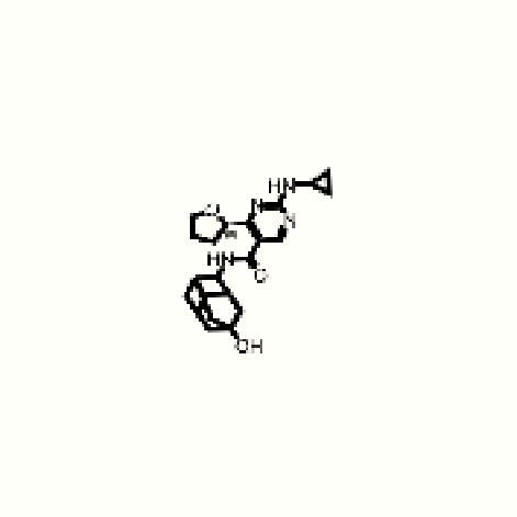 O=C(NC1C2CC3CC1CC(O)(C3)C2)c1cnc(NC2CC2)nc1[C@H]1CCCO1